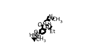 CC[C@@H]1CN=C2N(Cc3cnn(C)c3)C(=O)c3cc(S(=O)(=O)NC4(C)CC4)ccc3N21